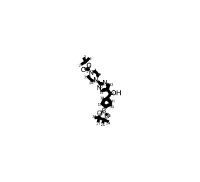 CC(C)(C)OC(=O)N1CCN(c2ncc(C(O)c3ccc(B4OC(C)(C)C(C)(C)O4)cc3)cn2)CC1